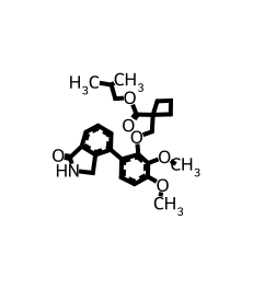 COc1ccc(-c2cccc3c2CNC3=O)c(OCC2(C(=O)OCC(C)C)CCC2)c1OC